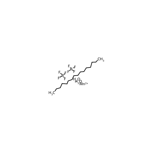 CCCCCCCCCCCCCCCC.F[B-](F)(F)F.F[B-](F)(F)F.O.O.[Mn+2]